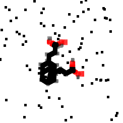 O=C(O)CCC12CC3CC(C1)CC(CCC(=O)O)(C3)C2